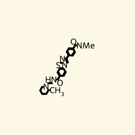 CNC(=O)c1ccc(-c2cn3c(n2)sc2cc(C(=O)NCCN4CCCCC4C)ccc23)cc1